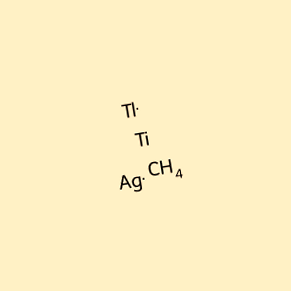 C.[Ag].[Ti].[Tl]